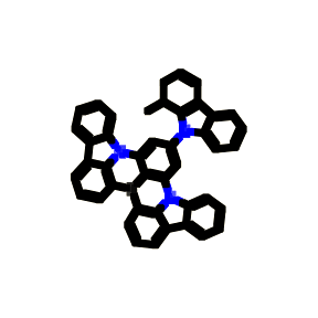 CC1CC=Cc2c1n(-c1cc3c4c(c1)-n1c5ccccc5c5cccc(c51)B4c1cccc4c5ccccc5n-3c14)c1ccccc21